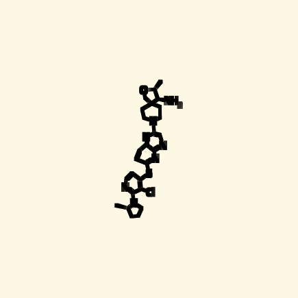 C[C@@H]1OCC2(CCN(c3cnc4nc(Sc5ccnc(N6CCC[C@H]6C)c5Cl)ccc4n3)CC2)[C@@H]1N